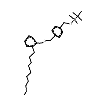 CCCCCCCCCCc1ccccc1COCc1ccc(CO[Si](C)(C)C(C)(C)C)cc1